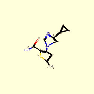 Cc1cc(-n2cnc(C3CC3)c2)c(C(N)=O)s1